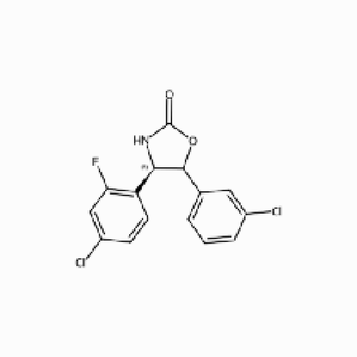 O=C1N[C@H](c2ccc(Cl)cc2F)C(c2cccc(Cl)c2)O1